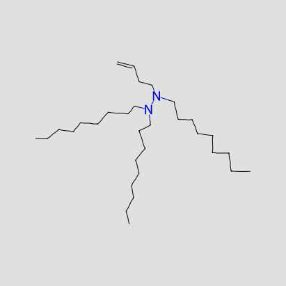 C=CCCN(CCCCCCCCC)N(CCCCCCCCC)CCCCCCCCC